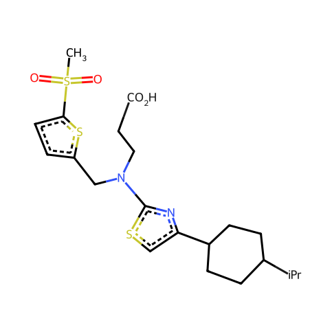 CC(C)C1CCC(c2csc(N(CCC(=O)O)Cc3ccc(S(C)(=O)=O)s3)n2)CC1